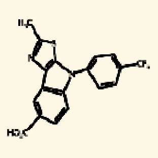 Cc1nc2c3cc(C(=O)O)ccc3n(-c3ccc(C(F)(F)F)cc3)c2s1